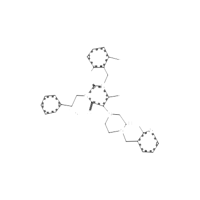 Cc1ncccc1CN1CCN(c2c(C)n(Cc3c(F)cccc3C(F)(F)F)c(=O)n(C[C@H](N)c3ccccc3)c2=O)CC1